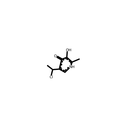 Cc1[nH]cc(C(C)Cl)c(=O)c1O